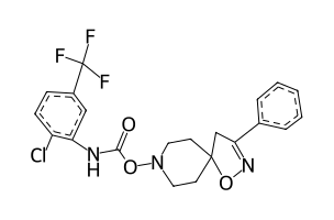 O=C(Nc1cc(C(F)(F)F)ccc1Cl)ON1CCC2(CC1)CC(c1ccccc1)=NO2